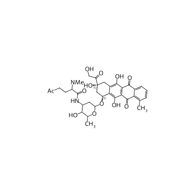 CNC(CCC(C)=O)C(=O)NC1CC(O[C@H]2C[C@](O)(C(=O)CO)Cc3c(O)c4c(c(O)c32)C(=O)c2c(C)cccc2C4=O)OC(C)C1O